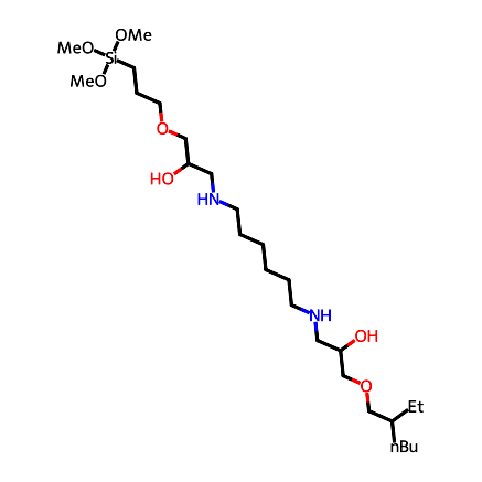 CCCCC(CC)COCC(O)CNCCCCCCNCC(O)COCCC[Si](OC)(OC)OC